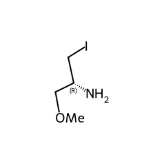 COC[C@@H](N)CI